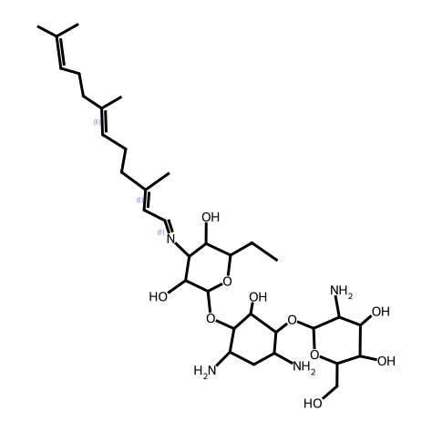 CCC1OC(OC2C(N)CC(N)C(OC3OC(CO)C(O)C(O)C3N)C2O)C(O)C(/N=C/C=C(\C)CC/C=C(\C)CCC=C(C)C)C1O